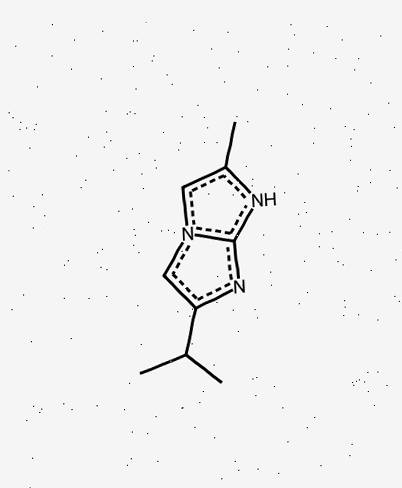 Cc1cn2cc(C(C)C)nc2[nH]1